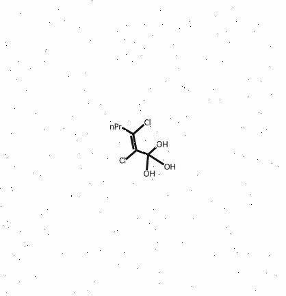 CCCC(Cl)=C(Cl)C(O)(O)O